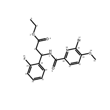 CCOC(=O)CC(NC(=O)c1ccc(OC)c(Br)n1)c1ccccc1F